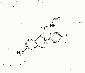 Cc1ccc2c(c1)CCC1C(CNC=O)C21[S+]([O-])c1ccc(F)cc1